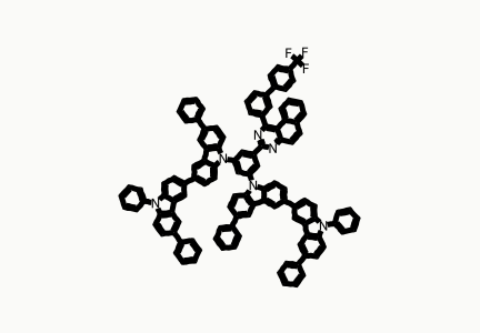 FC(F)(F)c1ccc(-c2cccc(-c3nc(-c4cc(-n5c6ccc(-c7ccccc7)cc6c6cc(-c7ccc8c(c7)c7cc(-c9ccccc9)ccc7n8-c7ccccc7)ccc65)cc(-n5c6ccc(-c7ccccc7)cc6c6cc(-c7ccc8c(c7)c7cc(-c9ccccc9)ccc7n8-c7ccccc7)ccc65)c4)nc4ccc5ccccc5c34)c2)cc1